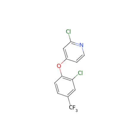 FC(F)(F)c1ccc(Oc2ccnc(Cl)c2)c(Cl)c1